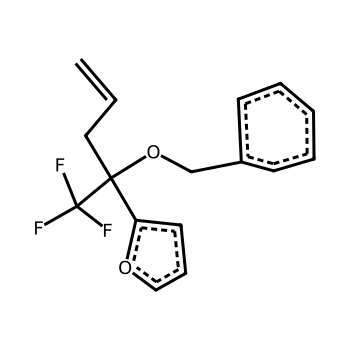 C=CCC(OCc1ccccc1)(c1ccco1)C(F)(F)F